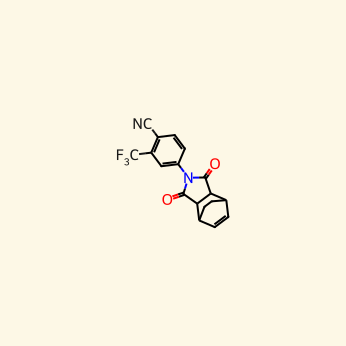 N#Cc1ccc(N2C(=O)C3C4C=CC(CC4)C3C2=O)cc1C(F)(F)F